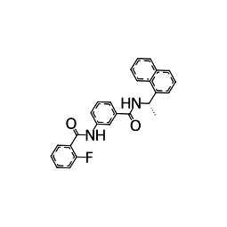 C[C@H](NC(=O)c1cccc(NC(=O)c2ccccc2F)c1)c1cccc2ccccc12